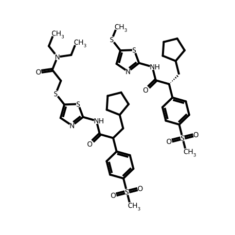 CCN(CC)C(=O)CSc1cnc(NC(=O)C(CC2CCCC2)c2ccc(S(C)(=O)=O)cc2)s1.CSc1cnc(NC(=O)[C@H](CC2CCCC2)c2ccc(S(C)(=O)=O)cc2)s1